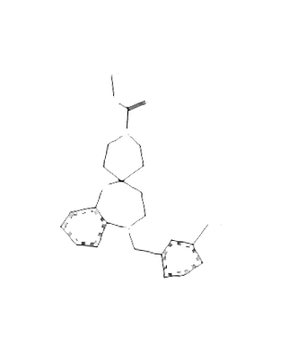 CC(C)(C)OC(=O)N1CCC2(CC1)CCN(Cc1cccc(C(F)(F)F)c1)c1ccccc1O2